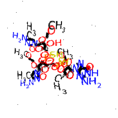 CC[C@H]1O[C@@H](n2cnc3c(=O)[nH]c(N)nc32)[C@@H](OCCOC)C1OP(=O)(S)OC[C@H]1O[C@@H](n2cc(C)c(N)nc2=O)[C@@H](OCCOC)C1OP(=O)(S)OC[C@H]1O[C@@H](n2cc(C)c(N)nc2=O)[C@@H](OCCOC)C1O